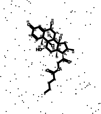 CCCCC(=O)OCC(=O)[C@H]1[C@H](C)C[C@H]2[C@@H]3C[C@H](Cl)C4=CC(=O)C=C[C@]4(C)[C@@]3(Cl)[C@@H](O)C[C@@]21C